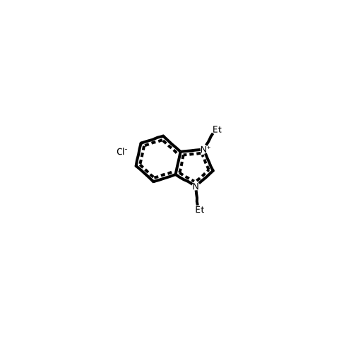 CCn1c[n+](CC)c2ccccc21.[Cl-]